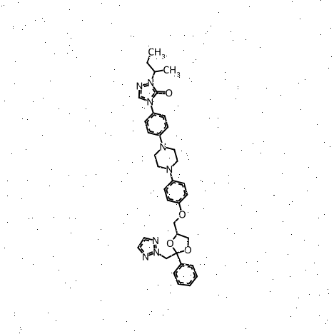 CCC(C)n1ncn(-c2ccc(N3CCN(c4ccc(OCC5COC(Cn6nccn6)(c6ccccc6)O5)cc4)CC3)cc2)c1=O